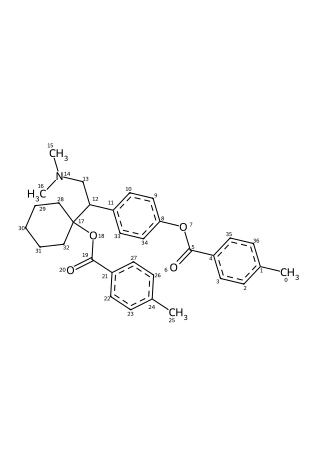 Cc1ccc(C(=O)Oc2ccc(C(CN(C)C)C3(OC(=O)c4ccc(C)cc4)CCCCC3)cc2)cc1